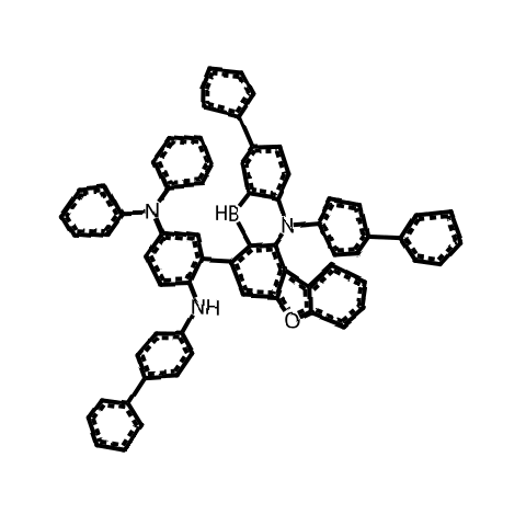 B1c2cc(-c3ccccc3)ccc2N(c2ccc(-c3ccccc3)cc2)c2c1c(-c1cc(N(c3ccccc3)c3ccccc3)ccc1Nc1ccc(-c3ccccc3)cc1)cc1oc3ccccc3c21